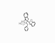 O=C(O)C(Cc1ccccc1)C(Cc1ccccc1)(C(O)=S)c1nc2ccccc2o1